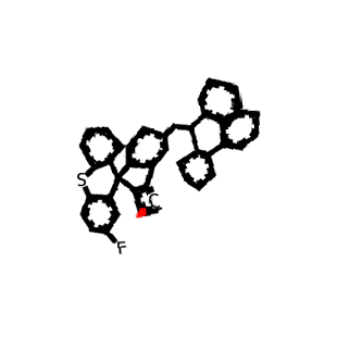 Fc1ccc2c(c1)C1(c3ccccc3S2)c2ccccc2-c2cc(CC(c3ccccc3)c3ccccc3-c3ccccc3)ccc21